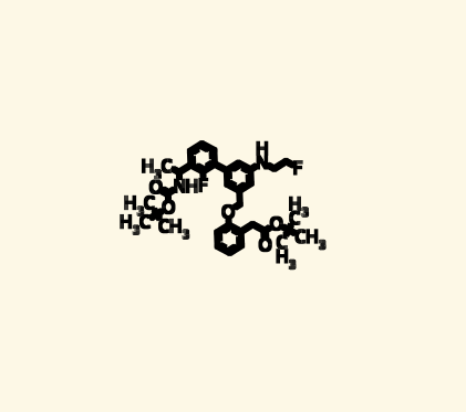 CC(NC(=O)OC(C)(C)C)c1cccc(-c2cc(COc3ccccc3CC(=O)OC(C)(C)C)cc(NCCF)c2)c1F